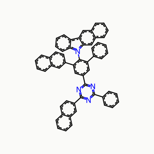 c1ccc(-c2nc(-c3cc(-c4ccccc4)c(-n4c5ccccc5c5cc6ccccc6cc54)c(-c4ccc5ccccc5c4)c3)nc(-c3ccc4ccccc4c3)n2)cc1